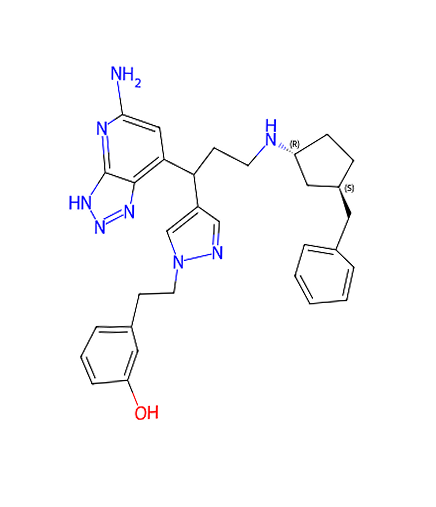 Nc1cc(C(CCN[C@@H]2CC[C@@H](Cc3ccccc3)C2)c2cnn(CCc3cccc(O)c3)c2)c2nn[nH]c2n1